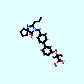 CCCC1=NC2(CCCC2)C(=O)N1Cc1ccc(-c2cccc(OC(C)(C)C(=O)O)c2)cc1